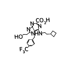 O=C(O)c1nc(NCCC2CCC2)c2c(n1)nc(CCO)n2Cc1ccc(C(F)(F)F)cc1